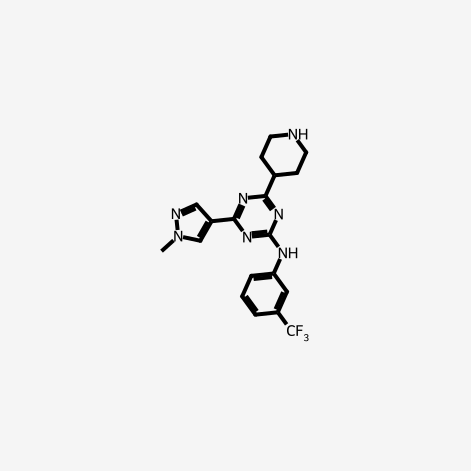 Cn1cc(-c2nc(Nc3cccc(C(F)(F)F)c3)nc(C3CCNCC3)n2)cn1